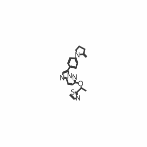 C=C1CCCN1c1ccc(-c2cnc3ccc(OC(C)c4nccs4)nn23)cc1